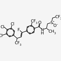 C[C@H](C[S+]([O-])CC(F)(F)F)NC(=O)c1ccc(/C(F)=C/C(c2cc(Cl)c(Cl)c(Cl)c2)C(F)(F)F)cc1C(F)(F)F